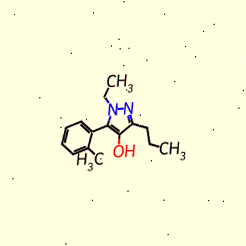 CCCc1nn(CC)c(-c2ccccc2C)c1O